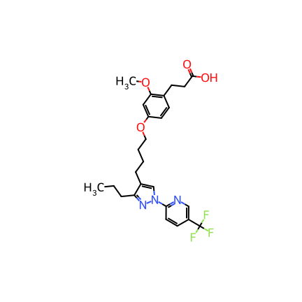 CCCc1nn(-c2ccc(C(F)(F)F)cn2)cc1CCCCOc1ccc(CCC(=O)O)c(OC)c1